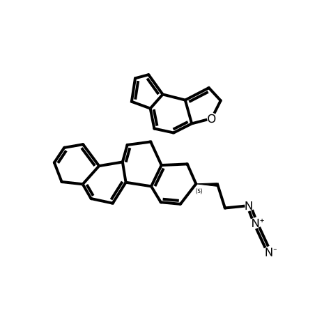 C1=Cc2ccc3c(c2=C1)=CCO3.[N-]=[N+]=NCC[C@H]1C=CC2=C(CC=c3c2ccc2c3=CC=CC2)C1